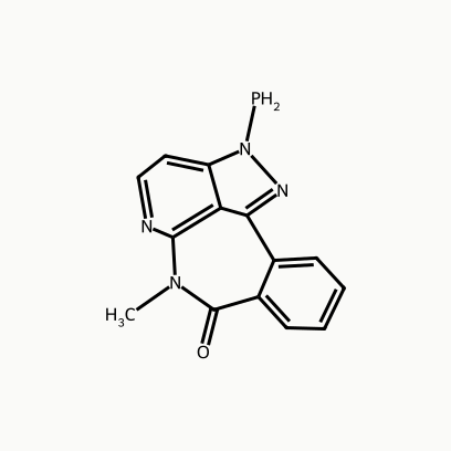 CN1C(=O)c2ccccc2-c2nn(P)c3ccnc1c23